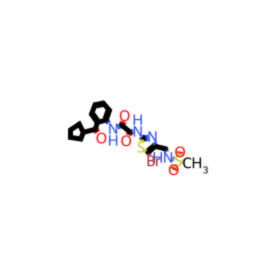 CS(=O)(=O)NCc1nc(NC(=O)C(=O)Nc2ccccc2C(=O)C2CCCC2)sc1Br